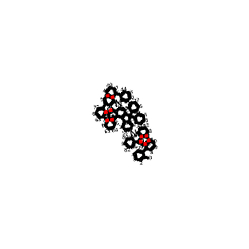 Cc1ccccc1-c1cccc2c1oc1c(N(c3ccc4c(c3)C(c3ccccc3)(c3ccccc3)c3cc(N(c5ccccc5-c5ccccc5)c5cccc6c5oc5c(-c7ccccc7C)cccc56)c5ccccc5c3-4)c3ccccc3-c3ccccc3)cccc12